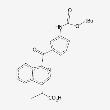 CC(C(=O)O)c1cnc(C(=O)c2cccc(NC(=O)OC(C)(C)C)c2)c2ccccc12